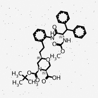 COC(=O)N[C@H](C(=O)Nc1ccccc1CC[C@@H]1CN(C(=O)OC(C)(C)C)[C@H](C(=O)O)CO1)C(c1ccccc1)c1ccccc1